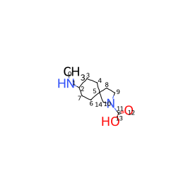 CNC1CCC2(CC1)CCN(C(=O)O)C2